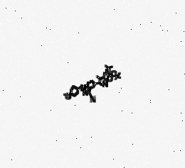 COc1ccc(Cn2nc(C#N)c3cc(-c4cncc(CN(C(=O)OC(C)(C)C)C(C)C)c4C)ccc32)cc1